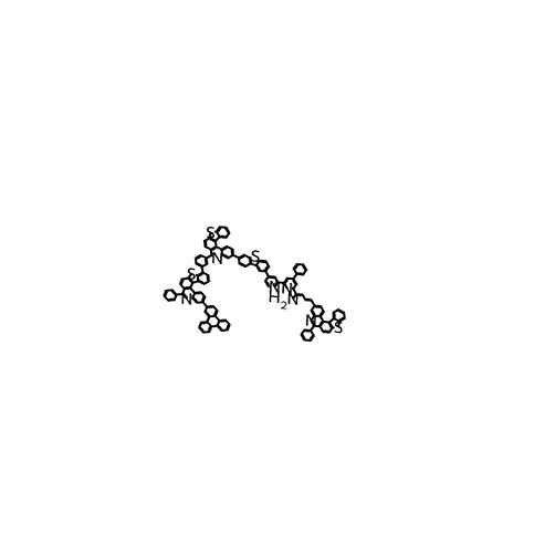 N/C(=C\C=C\c1ccc2c(c1)nc(-c1ccccc1)c1ccc3sc4ccccc4c3c12)c1cc(-c2ccccc2)cc(-c2cc(-c3ccc4sc5cc(-c6ccc7c(c6)nc(-c6cccc(-c8cccc9c8sc8ccc%10c(-c%11ccccc%11)nc%11cc(-c%12ccc%13c%14ccccc%14c%14ccccc%14c%13c%12)ccc%11c%10c89)c6)c6ccc8sc9ccccc9c8c67)ccc5c4c3)ccn2)n1